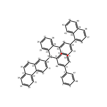 c1ccc(-c2cccc(N(c3ccc4c(ccc5ccccc54)c3)c3ccccc3-c3cccc(-c4cccc5ccccc45)c3)c2)cc1